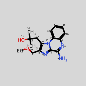 CCOCc1nc2c(N)nc3ccccc3n2c1CC(C)(C)O